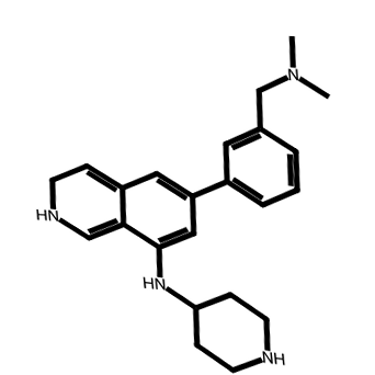 CN(C)Cc1cccc(-c2cc(NC3CCNCC3)c3c(c2)=CCNC=3)c1